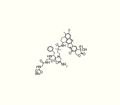 CC[C@@]1(O)C(=O)OCc2c1cc1n(c2=O)Cc2c-1nc1cc(F)c(C)c3c1c2[C@@H](NC(=O)C(C)(C)CCN(CC(N)=O)C(=O)[C@H](Cc1ccccc1)NC(=O)CNC(=O)CNC(=O)OC(C)(C)C)CC3